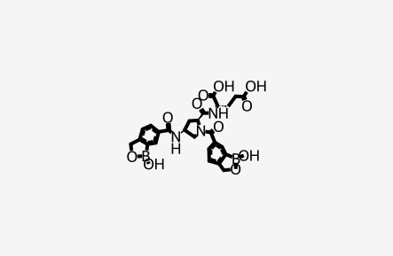 O=C(O)CC[C@H](NC(=O)[C@@H]1C[C@@H](NC(=O)c2ccc3c(c2)B(O)OC3)CN1C(=O)c1ccc2c(c1)B(O)OC2)C(=O)O